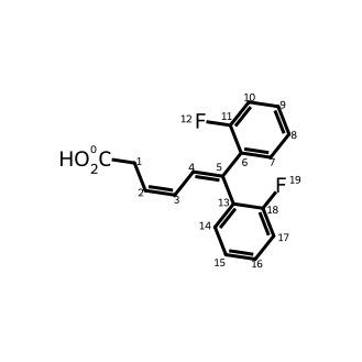 O=C(O)C/C=C\C=C(c1ccccc1F)c1ccccc1F